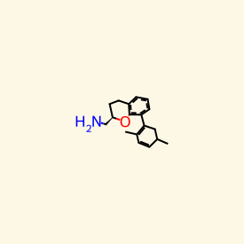 CC1=C(c2cccc3c2O[C@@H](CN)CC3)CC(C)C=C1